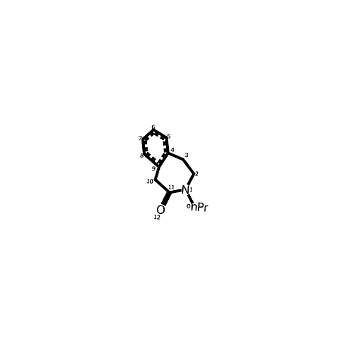 CCCN1CCc2ccccc2CC1=O